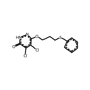 O=c1[nH]nc(OCCCSc2ccccc2)c(Cl)c1Cl